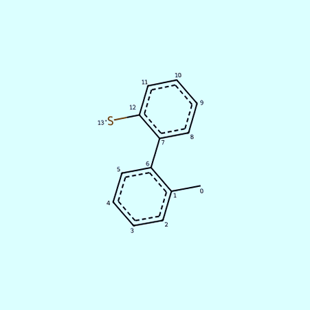 Cc1ccccc1-c1ccccc1[S]